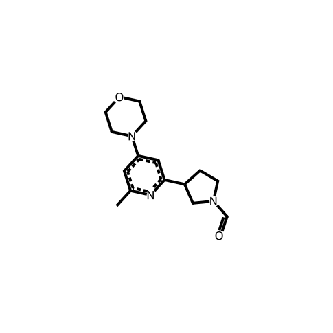 Cc1cc(N2CCOCC2)cc(C2CCN(C=O)C2)n1